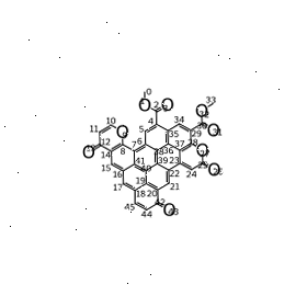 COC(=O)c1cc2c3c4occc(=O)c4cc4cc5c6c(cc7c8cc(=O)oc9c(C(=O)OC)cc1c(c98)c2c7c6c43)C(=O)C=C5